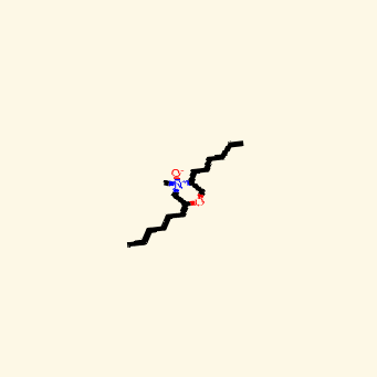 CCCCCCC1C[N+](C)([O-])C(CCCCCC)CO1